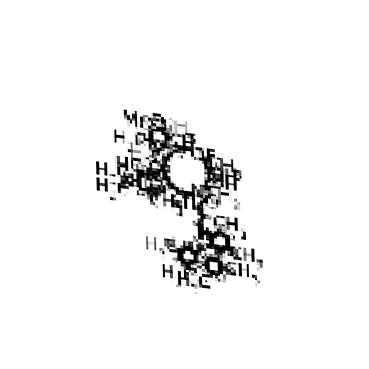 CC[C@H]1OC(=O)[C@H](C)C([C@H]2C[C@@](C)(OC)[C@@H](O)[C@H](C)O2)[C@H](C)[C@@H](O[C@@H]2O[C@H](C)C[C@H](N(C)C)[C@H]2O)[C@](C)(O)C[C@@H](C)CN(C(=O)CCCCC[PH](c2cc(C)cc(C)c2)(c2cc(C)cc(C)c2)c2cc(C)cc(C)c2)[C@H](C)[C@@H](O)[C@]1(C)O